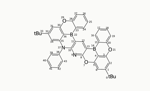 CC(C)(C)c1cc2c3c(c1)Oc1nc4c(cc1B3c1ccccc1O2)B1c2ccccc2Oc2cc(C(C)(C)C)cc(c21)N4c1ccccc1